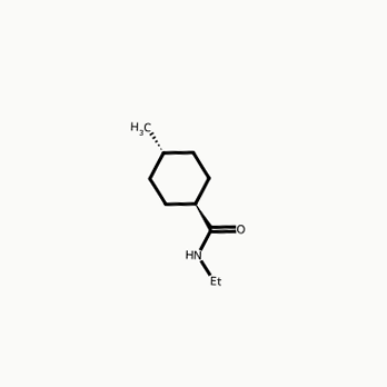 CCNC(=O)[C@H]1CC[C@H](C)CC1